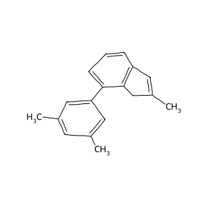 CC1=Cc2cccc(-c3cc(C)cc(C)c3)c2C1